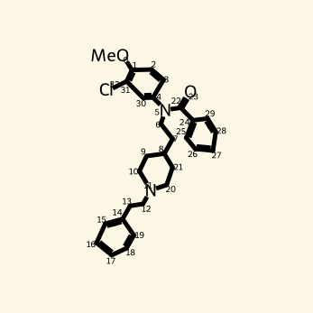 COc1ccc(N(CCC2CCN(CCc3ccccc3)CC2)C(=O)c2ccccc2)cc1Cl